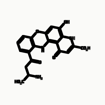 NC(CC(=O)c1cccc2c1Nc1c(cc(O)c3[nH]c(C(=O)O)cc(=O)c13)O2)C(=O)O